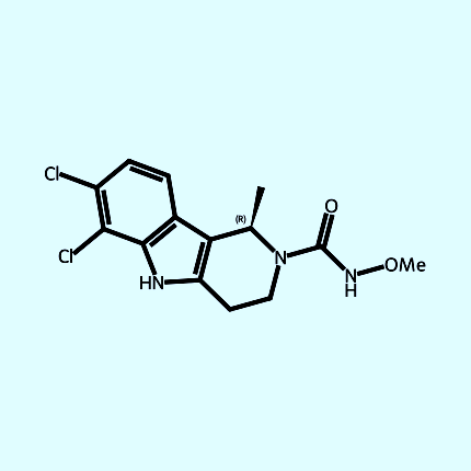 CONC(=O)N1CCc2[nH]c3c(Cl)c(Cl)ccc3c2[C@H]1C